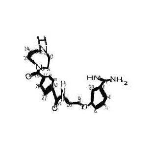 N=C(N)c1cccc(OCCNC(=O)c2ccc(C(=O)N3CCNCC3)cc2)c1